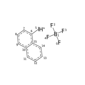 F[B-](F)(F)F.[IH+]c1cccc2ccccc12